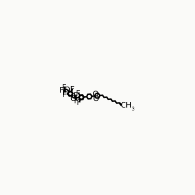 C/C=C/CCCCCCCCC1COC(C2CCC(c3cc(F)c(C(F)(F)Oc4cc(F)c(OC(F)(F)F)c(F)c4)c(F)c3)CC2)OC1